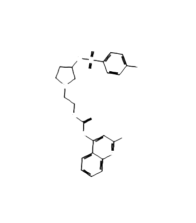 Cc1cc(NC(=O)NCCN2CCC(NS(=O)(=O)c3ccc(F)cc3)C2)c2ccccc2n1